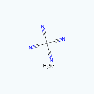 N#CC(C#N)(C#N)C#N.[SeH2]